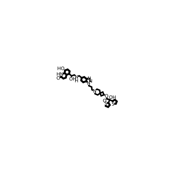 O=C(OC1CC2(CCN(CCCn3nnc4cc(CNCC(O)c5ccc(O)c6[nH]c(=O)ccc56)ccc43)CC2)C1)C(O)(c1cccs1)c1cccs1